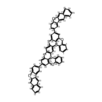 c1ccc2c(c1)Oc1cc(-c3ccc4oc5cc6ccccc6cc5c4c3)cc3c1B2c1cc2c(cc1S3)Sc1cc(-c3ccc4oc5cc6ccccc6cc5c4c3)cc3c1B2c1ccccc1O3